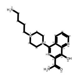 NCCCCN1CCN(c2nc(C(N)=O)c(O)c3ncccc23)CC1